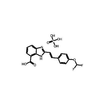 O=C(O)c1cccc2nc(C=Cc3ccc(OC(F)F)cc3)[nH]c12.O=P(O)(O)O